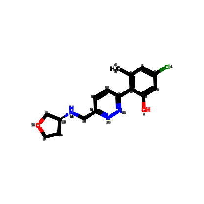 Cc1cc(Cl)cc(O)c1-c1ccc(CN[C@@H]2CCOC2)nn1